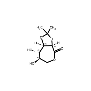 CC1(C)O[C@@H]2[C@@H](O)[C@H](O)COC(=O)[C@@H]2O1